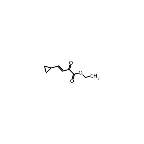 CCOC(=O)C(=O)C=CC1CC1